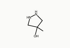 CC1(O)CNNC1